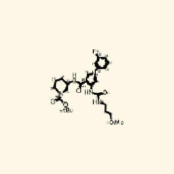 COCCCNC(=O)Nc1cn(-c2cccc(F)c2)cc1C(=O)NC1CCCN(C(=O)OC(C)(C)C)C1